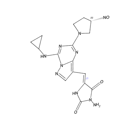 NN1C(=O)N/C(=C\c2cnn3c(NC4CC4)nc(N4CC[C@H](N=O)C4)nc23)C1=O